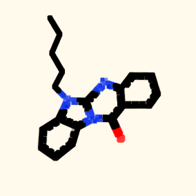 CCCCCn1c2ccccc2n2c(=O)c3ccccc3nc12